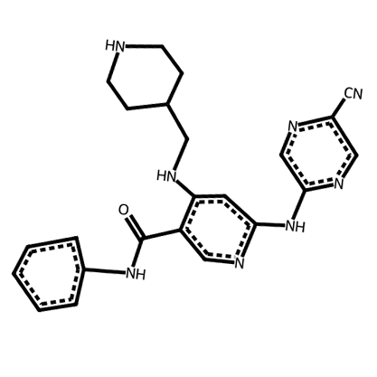 N#Cc1cnc(Nc2cc(NCC3CCNCC3)c(C(=O)Nc3ccccc3)cn2)cn1